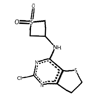 O=S1(=O)CC(Nc2nc(Cl)nc3c2SCC3)C1